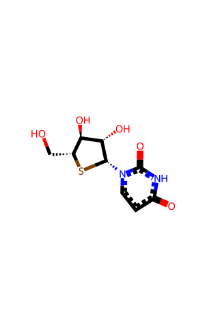 O=c1ccn([C@@H]2S[C@H](CO)[C@@H](O)[C@@H]2O)c(=O)[nH]1